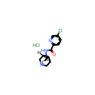 Cl.O=C(N[C@H]1CN2CCC1CC2)c1ccc(Cl)cn1